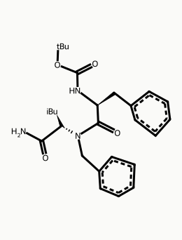 CC[C@H](C)[C@@H](C(N)=O)N(Cc1ccccc1)C(=O)[C@H](Cc1ccccc1)NC(=O)OC(C)(C)C